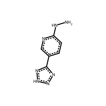 NNc1ccc(-c2nn[nH]n2)cn1